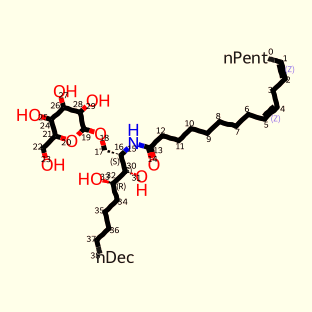 CCCCC/C=C\C/C=C\CCCCCCCC(=O)N[C@@H](COC1OC(CO)C(O)C(O)C1O)[C@H](O)[C@H](O)CCCCCCCCCCCCCC